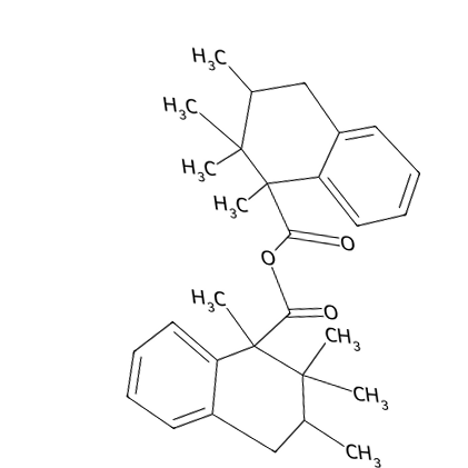 CC1Cc2ccccc2C(C)(C(=O)OC(=O)C2(C)c3ccccc3CC(C)C2(C)C)C1(C)C